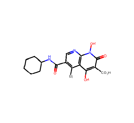 CCc1c(C(=O)NC2CCCCC2)cnc2c1c(O)c(C(=O)O)c(=O)n2O